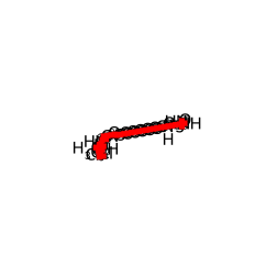 Cn1c(=O)c(-c2c(Cl)cccc2Cl)cc2cnc(Nc3ccc(OCCNC(=O)CCOCCOOCCOOCCOOCCOOCCOOCCOCCNC(=O)CCCCC4SCC5NC(=O)NC54)cc3)nc21